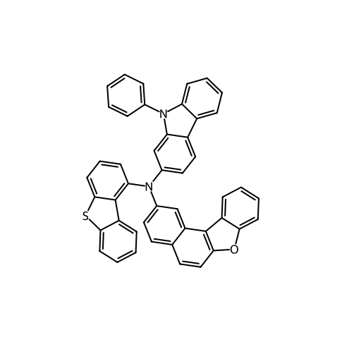 c1ccc(-n2c3ccccc3c3ccc(N(c4ccc5ccc6oc7ccccc7c6c5c4)c4cccc5sc6ccccc6c45)cc32)cc1